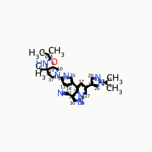 CCC1(NC(=O)C(C)C)CCN(c2ccc(-c3cc(-c4cnn(C(C)C)c4)cn4ncc(C#N)c34)cn2)CC1